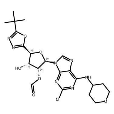 CC(C)(C)c1nnc([C@H]2O[C@@H](n3cnc4c(NC5CCOCC5)nc(Cl)nc43)[C@H](OC=O)[C@@H]2O)o1